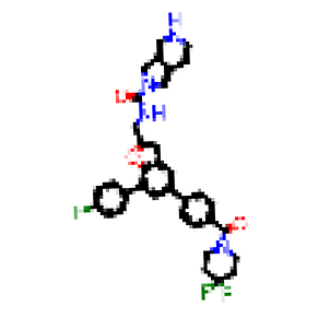 O=C(NCc1cc2cc(-c3ccc(C(=O)N4CCC(F)(F)CC4)cc3)cc(-c3ccc(F)cc3)c2o1)N1C=C2C=CNC=C2C1